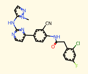 Cn1nccc1Nc1nccc(-c2ccc(NC(=O)Cc3ccc(F)cc3Cl)c(C#N)c2)n1